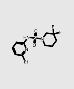 CCc1cccc(NS(=O)(=O)N2CCCC(F)(F)C2)n1